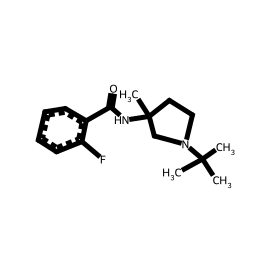 CC1(NC(=O)c2ccccc2F)CCN(C(C)(C)C)C1